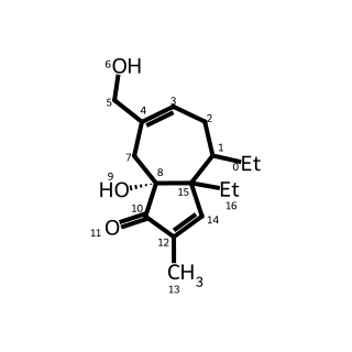 CCC1CC=C(CO)C[C@]2(O)C(=O)C(C)=CC12CC